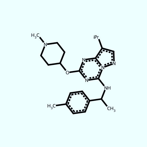 Cc1ccc(C(C)Nc2nc(OC3CCN(C)CC3)nc3c(C(C)C)cnn23)cc1